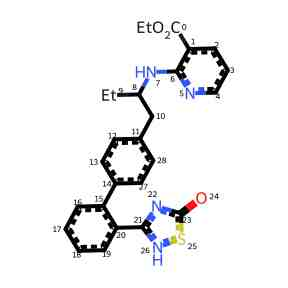 CCOC(=O)c1cccnc1NC(CC)Cc1ccc(-c2ccccc2-c2nc(=O)s[nH]2)cc1